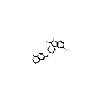 O=C(O)c1ccc2c(c1)[C@]1(CC[C@@H](Oc3cnc4c(c3)CCCO4)CC1)C(=O)N2